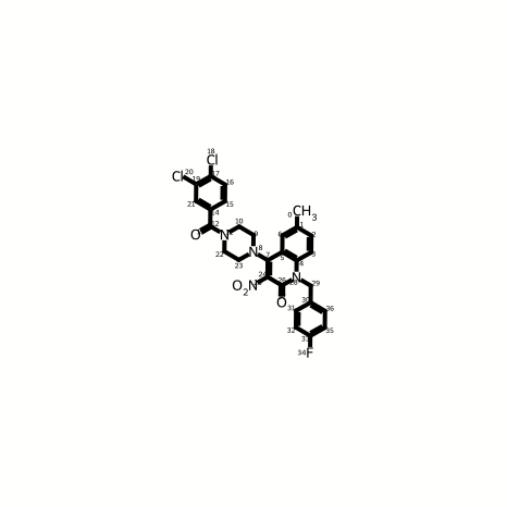 Cc1ccc2c(c1)c(N1CCN(C(=O)c3ccc(Cl)c(Cl)c3)CC1)c([N+](=O)[O-])c(=O)n2Cc1ccc(F)cc1